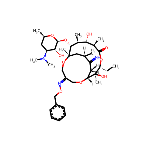 CC[C@H]1OC(=O)[C@H](C)[C@@H](O)[C@H](C)[C@@H](O[C@@H]2O[C@H](C)C[C@H](N(C)C)[C@H]2O)[C@@]2(C)C[C@@H](C)C(=N)[C@H](C)[C@@H](OC/C(=N\OCc3ccccc3)CO2)[C@]1(C)O